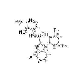 CC(Nc1ncnc(N)c1C#N)c1nc2c(F)cccc2n1-c1cc(F)cc(F)c1